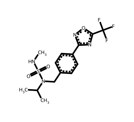 CNS(=O)(=O)N(Cc1ccc(-c2noc(C(F)(F)F)n2)cc1)C(C)C